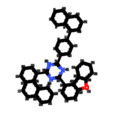 c1ccc2c(-c3ccc(-c4nc(-c5cccc6ccc7ccccc7c56)nc(-c5cccc6oc7ccccc7c56)n4)cc3)cccc2c1